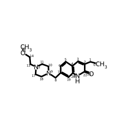 CCc1cc2ccc(CN3CCN(CCOC)CC3)cc2[nH]c1=O